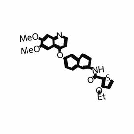 CCOc1ccsc1C(=O)Nc1ccc2cc(Oc3ccnc4cc(OC)c(OC)cc34)ccc2c1